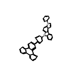 c1ccc(-n2ccc3c4c5ccccc5n(-c5ccc(-c6ccc7c8ccccc8c8ccccc8c7c6)cc5)c4ccc32)cc1